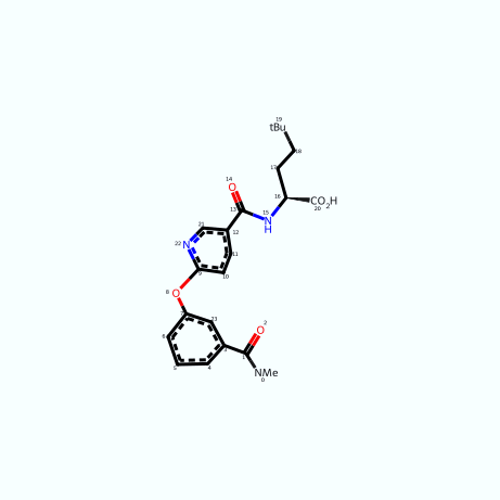 CNC(=O)c1cccc(Oc2ccc(C(=O)N[C@@H](CCC(C)(C)C)C(=O)O)cn2)c1